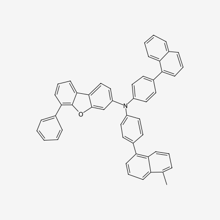 Cc1cccc2c(-c3ccc(N(c4ccc(-c5cccc6ccccc56)cc4)c4ccc5c(c4)oc4c(-c6ccccc6)cccc45)cc3)cccc12